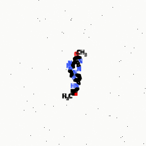 COc1cnc(C#N)c(-c2cn(Cc3cn4cc(CNCC56CC(C)(C5)C6)ccc4n3)nn2)c1